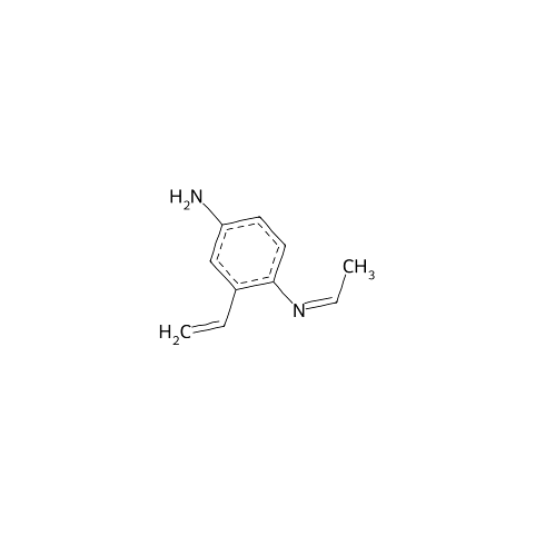 C=Cc1cc(N)ccc1/N=C\C